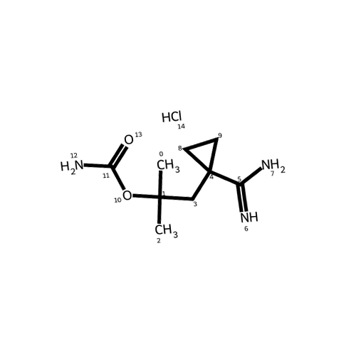 CC(C)(CC1(C(=N)N)CC1)OC(N)=O.Cl